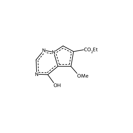 CCOC(=O)c1cn2ncnc(O)c2c1OC